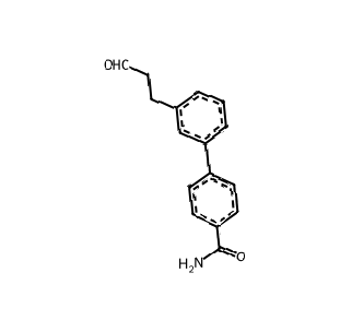 NC(=O)c1ccc(-c2cccc(CCC=O)c2)cc1